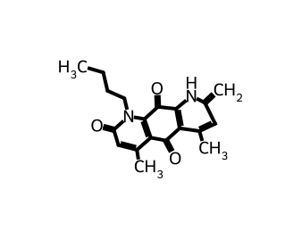 C=C1C=C(C)C2=C(N1)C(=O)c1c(c(C)cc(=O)n1CCCC)C2=O